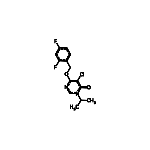 CC(C)n1cnc(OCc2ccc(F)cc2F)c(Cl)c1=O